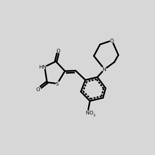 O=C1NC(=O)C(=Cc2cc([N+](=O)[O-])ccc2N2CCOCC2)S1